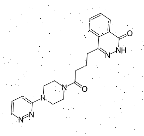 O=C(CCCc1n[nH]c(=O)c2ccccc12)N1CCN(c2cccnn2)CC1